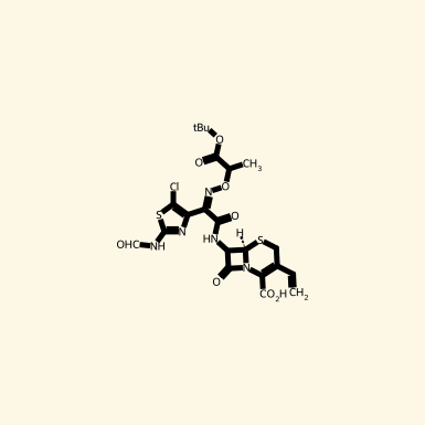 C=CC1=C(C(=O)O)N2C(=O)C(NC(=O)/C(=N\OC(C)C(=O)OC(C)(C)C)c3nc(NC=O)sc3Cl)[C@H]2SC1